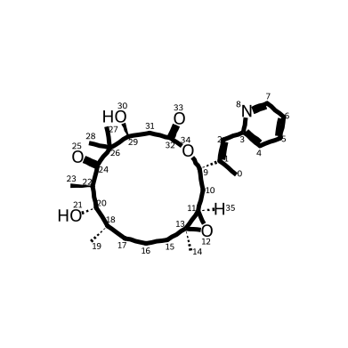 CC(=Cc1ccccn1)[C@@H]1C[C@H]2O[C@@]2(C)CCC[C@H](C)[C@H](O)[C@@H](C)C(=O)C(C)(C)[C@@H](O)CC(=O)O1